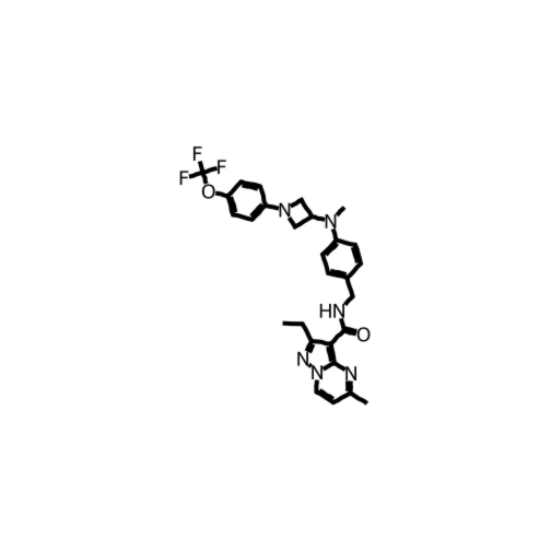 CCc1nn2ccc(C)nc2c1C(=O)NCc1ccc(N(C)C2CN(c3ccc(OC(F)(F)F)cc3)C2)cc1